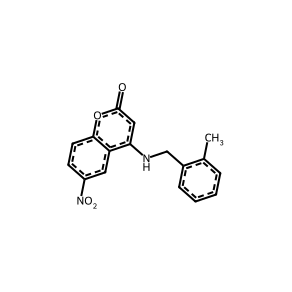 Cc1ccccc1CNc1cc(=O)oc2ccc([N+](=O)[O-])cc12